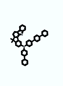 CC1(C)c2ccc(N(c3ccc(-c4ccccc4)cc3)c3ccc(-c4ccc(-c5ccccc5)cc4)cc3)cc2-c2c1ccc1c2sc2ccccc21